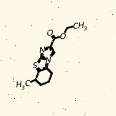 CCOC(=O)c1cn2c3c(sc2n1)C(C)CCC3